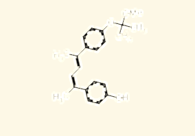 COC(C)(C)Oc1ccc(C(C)=CC=C(C)c2ccc(O)cc2)cc1